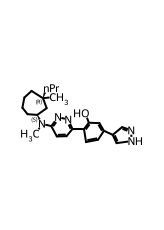 CCC[C@]1(C)CCCC[C@H](N(C)c2ccc(-c3ccc(-c4cn[nH]c4)cc3O)nn2)C1